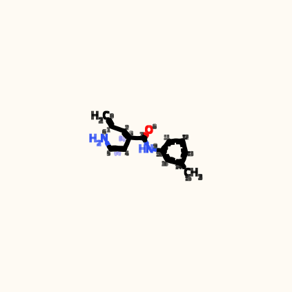 C=C/C=C(\C=C/N)C(=O)Nc1cccc(C)c1